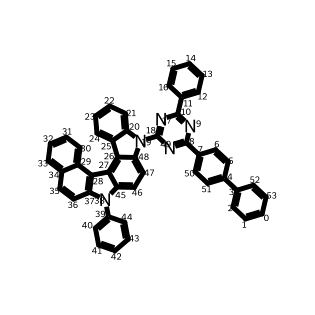 c1ccc(-c2ccc(-c3nc(-c4ccccc4)nc(-n4c5ccccc5c5c6c7c8ccccc8ccc7n(-c7ccccc7)c6ccc54)n3)cc2)cc1